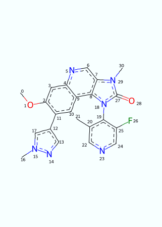 COc1cc2ncc3c(c2cc1-c1cnn(C)c1)n(-c1c(C)cncc1F)c(=O)n3C